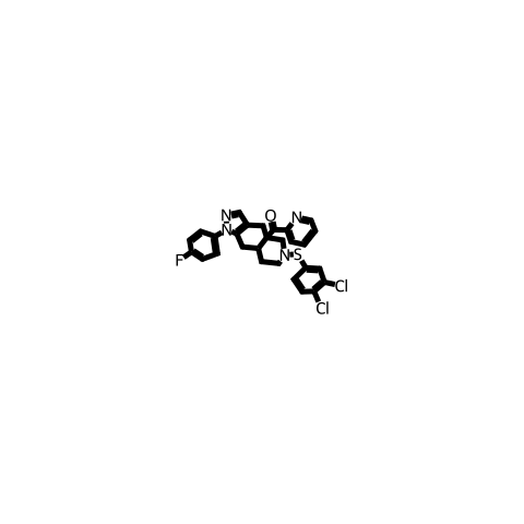 O=C(c1ccccn1)C12Cc3cnn(-c4ccc(F)cc4)c3CC1CCN(Sc1ccc(Cl)c(Cl)c1)C2